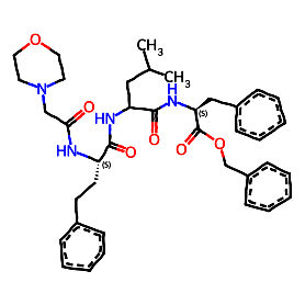 CC(C)CC(NC(=O)[C@H](CCc1ccccc1)NC(=O)CN1CCOCC1)C(=O)N[C@@H](Cc1ccccc1)C(=O)OCc1ccccc1